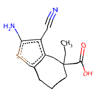 CC1(C(=O)O)CCCc2sc(N)c(C#N)c21